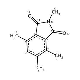 Cc1cc(C)c2c(c1C)C(=O)N(C)C2=O